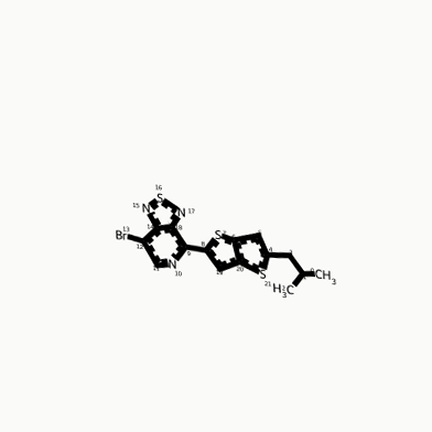 CC(C)Cc1cc2sc(-c3ncc(Br)c4nsnc34)cc2s1